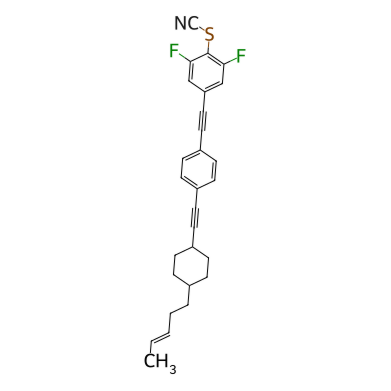 C/C=C/CCC1CCC(C#Cc2ccc(C#Cc3cc(F)c(SC#N)c(F)c3)cc2)CC1